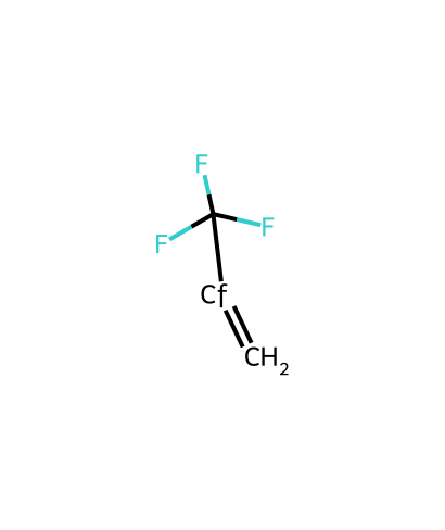 [CH2]=[Cf][C](F)(F)F